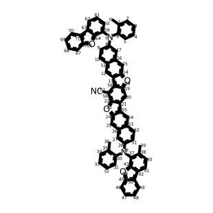 Cc1ccccc1N(c1ccc2cc3c(cc2c1)oc1cc2c(oc4cc5cc(N(c6ccccc6C)c6c(C)ccc7c6oc6ccccc67)ccc5cc42)c(C#N)c13)c1cccc2c1oc1ccccc12